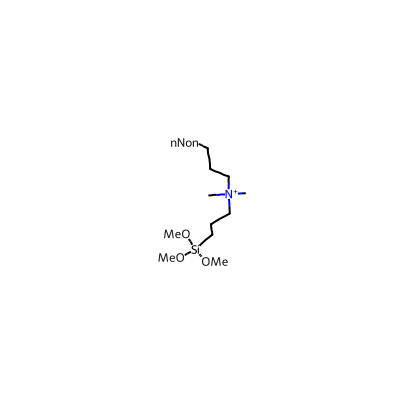 CCCCCCCCCCCC[N+](C)(C)CCC[Si](OC)(OC)OC